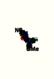 COc1ccc(N(c2ccc(F)cc2)C2CCN(C(=O)n3nnc4cc(C#N)ccc43)CC2)cc1